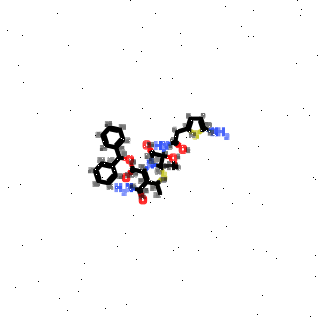 CO[C@@]1(NC(=O)Cc2ccc(N)s2)C(=O)N2C(C(=O)OC(c3ccccc3)c3ccccc3)=C(C(N)=O)C(C)S[C@H]21